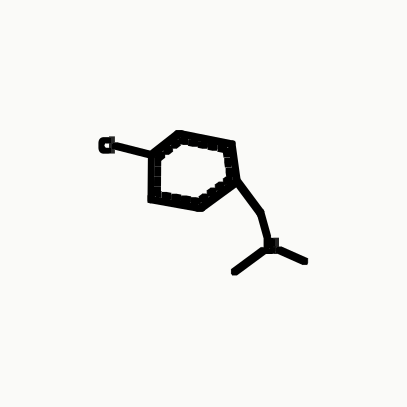 [CH3][Bi]([CH3])[CH2]c1ccc(Cl)cc1